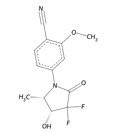 COc1cc(N2C(=O)C(F)(F)[C@H](O)[C@@H]2C)ccc1C#N